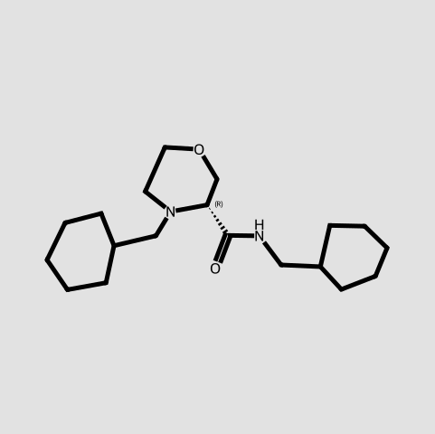 O=C(NCC1CCCCC1)[C@H]1COCCN1CC1CCCCC1